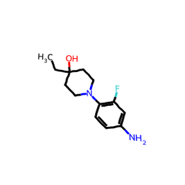 CCC1(O)CCN(c2ccc(N)cc2F)CC1